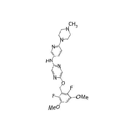 COc1cc(OC)c(F)c(COc2cnc(Nc3ccc(N4CCN(C)CC4)nc3)cn2)c1F